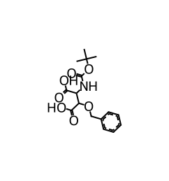 CC(C)(C)OC(=O)NC(C(=O)O)C(OCc1ccccc1)C(=O)O